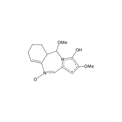 COc1cc2n(c1O)C(OC)C1CCCC=C1[N+]([O-])=C2